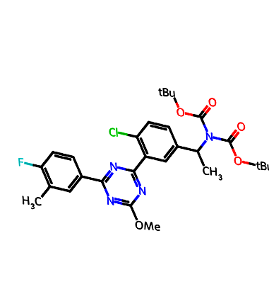 COc1nc(-c2ccc(F)c(C)c2)nc(-c2cc(C(C)N(C(=O)OC(C)(C)C)C(=O)OC(C)(C)C)ccc2Cl)n1